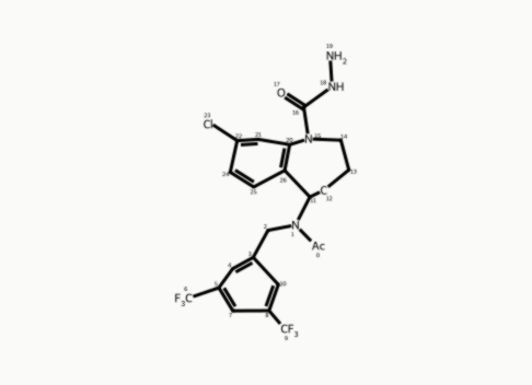 CC(=O)N(Cc1cc(C(F)(F)F)cc(C(F)(F)F)c1)C1CCCN(C(=O)NN)c2cc(Cl)ccc21